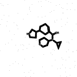 OC(C1=CCCC(C2CCNC2)C1)N(C1CCOCC1)C1CC1